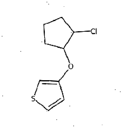 ClC1CCCC1Oc1ccsc1